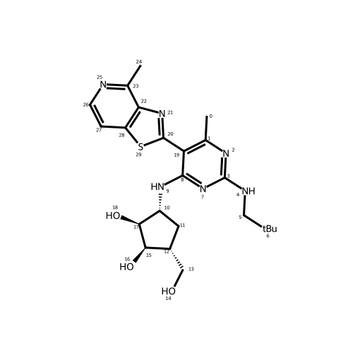 Cc1nc(NCC(C)(C)C)nc(N[C@@H]2C[C@H](CO)[C@@H](O)[C@H]2O)c1-c1nc2c(C)nccc2s1